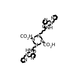 O=C(O)CN1CCN(CCCCC(=O)NCCN(Cc2ccccn2)Cc2ccccn2)CCN(CC(=O)O)CCN(CCC(=O)NCCN(Cc2ccccn2)Cc2ccccn2)CC1